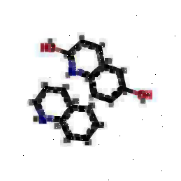 Oc1ccc2nc(O)ccc2c1.c1ccc2ncccc2c1